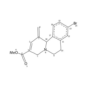 C=C1C=C(C(=O)OC)CN2CCc3cc(Br)ccc3C12